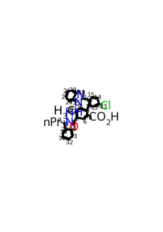 CCC[C@@H](NC(=O)c1cc(C(=O)O)c(-c2cc(Cl)ccc2-c2nc3ccccc3[nH]2)cc1C)c1ccccc1